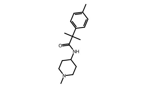 Cc1ccc(C(C)(C)C(=O)NC2CCN(C)CC2)cc1